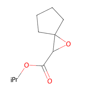 CC(C)OC(=O)C1OC12CCCC2